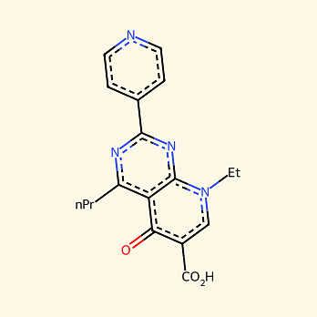 CCCc1nc(-c2ccncc2)nc2c1c(=O)c(C(=O)O)cn2CC